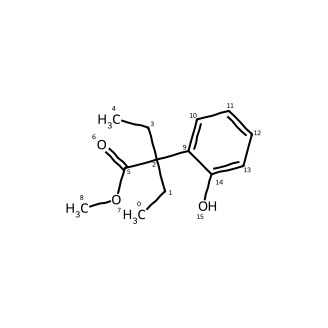 CCC(CC)(C(=O)OC)c1ccccc1O